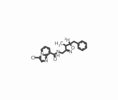 [2H]C1(Cc2ccccc2)ON=C(CNC(=O)c2cccn3c(Cl)cnc23)C1C